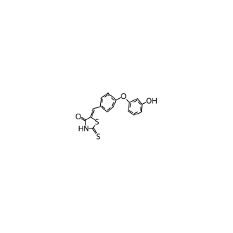 O=C1NC(=S)S/C1=C\c1ccc(Oc2cccc(O)c2)cc1